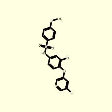 CSc1ccc(S(=O)(=O)Nc2ccc(Oc3cncc(Cl)c3)c(Cl)c2)cc1